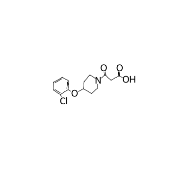 O=C(O)CC(=O)N1CCC(Oc2ccccc2Cl)CC1